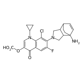 NC12C=CC(CC1)C1CN(c3c(F)cc4c(=O)c(OC(=O)O)cn(C5CC5)c4c3Cl)CC12